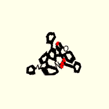 c1ccc(-c2ccc3c(c2)C2(c4ccccc4Oc4ccccc42)c2cc(-c4ccccc4)ccc2N3c2cccc3c2c2ccccc2n3-c2ccccc2)cc1